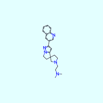 CN(C)CCN1CCC2(CCn3nc(-c4cnc5ccccc5c4)cc32)C1